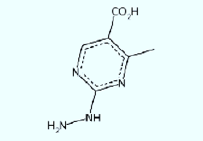 Cc1nc(NN)ncc1C(=O)O